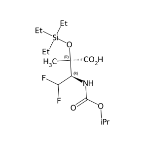 CC[Si](CC)(CC)O[C@@](C)(C(=O)O)[C@@H](NC(=O)OC(C)C)C(F)F